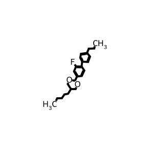 CCCCCC1COC(c2ccc(-c3ccc(CCC)cc3)c(F)c2)OC1